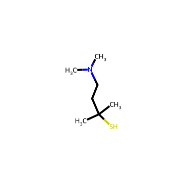 CN(C)CCC(C)(C)S